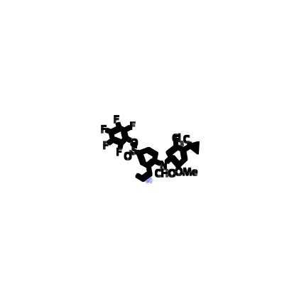 C/C=C\c1cc(S(=O)Oc2c(F)c(F)c(F)c(F)c2F)ccc1N(C=O)c1cc(Cl)c(C2(C(F)(F)F)CC2)cc1OC